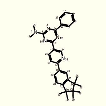 CN(C)c1nc(-c2ccccc2)nc(-c2ccc(-c3ccc4c(c3)C(C)(C)C(C)(C)C4(C)C)nc2)n1